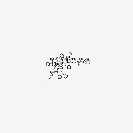 C=CCOC(=O)N[C@H](Cc1cn(C(=O)OC(C)(C)C)c2ccccc12)C(=O)NN(C(=O)OCC1c2ccccc2-c2ccccc21)S(=O)(=O)N[C@@H](Cc1cn(C(=O)OC(C)(C)C)c2ccccc12)C(=O)N[C@H](Cc1ccccc1)C(=O)N[C@@H](CCCCNC(=O)OC(C)(C)C)C(N)=O